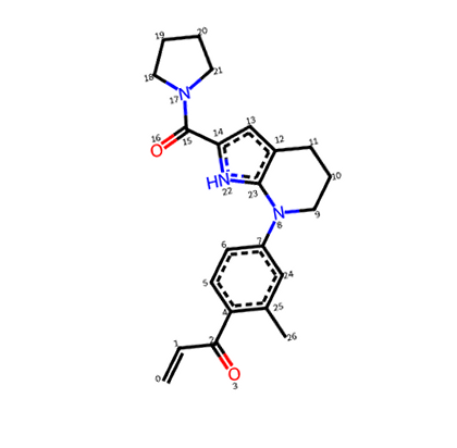 C=CC(=O)c1ccc(N2CCCc3cc(C(=O)N4CCCC4)[nH]c32)cc1C